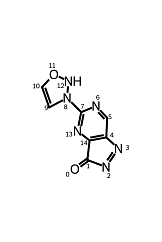 O=C1N=Nc2cnc(N3C=CON3)nc21